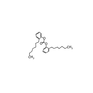 CCCCCCCc1ccccc1OC(=O)Oc1ccccc1CCCCCCC